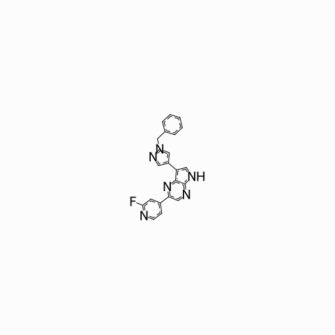 Fc1cc(-c2cnc3[nH]cc(-c4cnn(Cc5ccccc5)c4)c3n2)ccn1